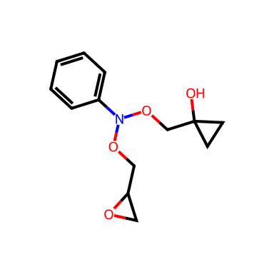 OC1(CON(OCC2CO2)c2ccccc2)CC1